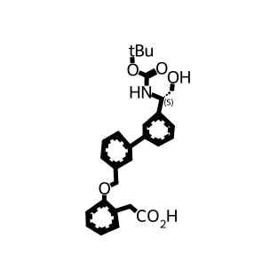 CC(C)(C)OC(=O)N[C@H](CO)c1cccc(-c2cccc(COc3ccccc3CC(=O)O)c2)c1